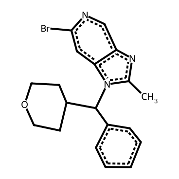 Cc1nc2cnc(Br)cc2n1C(c1ccccc1)C1CCOCC1